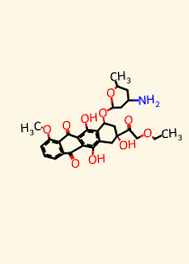 CCOCC(=O)[C@]1(O)Cc2c(O)c3c(c(O)c2[C@@H](OC2CC(N)CC(C)O2)C1)C(=O)c1c(OC)cccc1C3=O